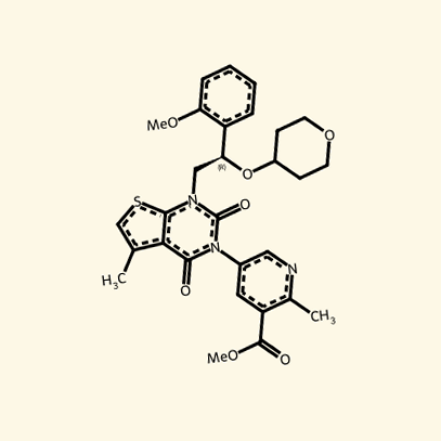 COC(=O)c1cc(-n2c(=O)c3c(C)csc3n(C[C@H](OC3CCOCC3)c3ccccc3OC)c2=O)cnc1C